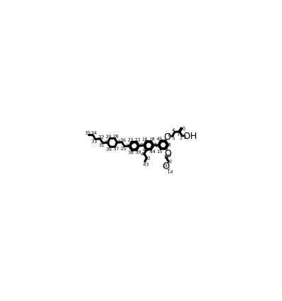 C=C(CO)CCOc1cc(OCCOC)cc(-c2ccc(-c3ccc(CCC4CCC(CCCCC)CC4)cc3)c(CCC)c2)c1